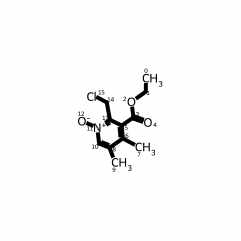 CCOC(=O)c1c(C)c(C)c[n+]([O-])c1CCl